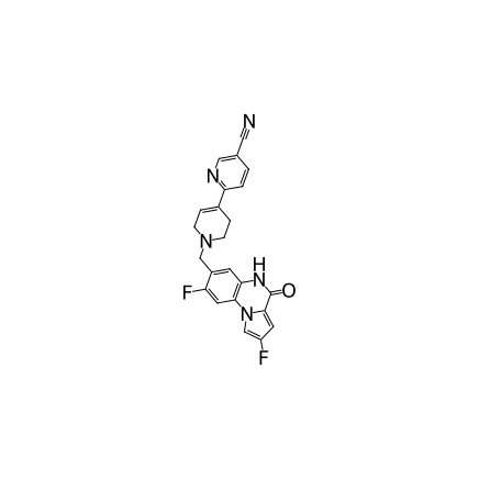 N#Cc1ccc(C2=CCN(Cc3cc4[nH]c(=O)c5cc(F)cn5c4cc3F)CC2)nc1